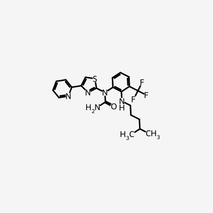 CC(C)CCCNc1c(N(C(N)=O)c2nc(-c3ccccn3)cs2)cccc1C(F)(F)F